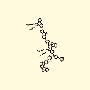 CCCCCCCC1(CCCCCCC)c2ccccc2-c2ccc(-c3ccc4c(c3)C(C)(C)c3cc(-c5ccc(-c6cc7c(c8c6oc6ccccc68)-c6ccc(N(c8ccc(-c9ccccc9)cc8)c8ccc9c(c8)C(C)(C)c8cc%10c(cc8-9)C(C)(C)c8ccc9oc%11ccccc%11c9c8-%10)cc6C7(CCCCCCC)CCCCCCC)cc5)ccc3-4)cc21